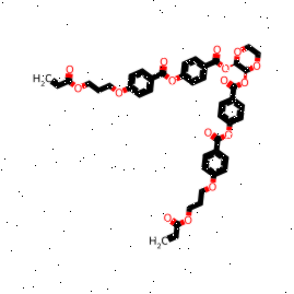 C=CC(=O)OCCCOc1ccc(C(=O)Oc2ccc(C(=O)O[C@@H]3OCCO[C@H]3OC(=O)c3ccc(OC(=O)c4ccc(OCCCOC(=O)C=C)cc4)cc3)cc2)cc1